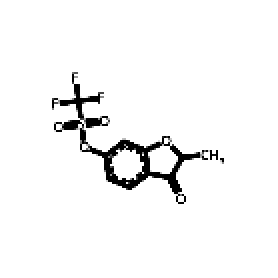 CC1Oc2cc(OS(=O)(=O)C(F)(F)F)ccc2C1=O